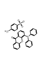 Cc1ccc(S(=O)(=O)[O-])cc1.O=c1c2ccccc2oc2c([S+](c3ccccc3)c3ccccc3)cccc12